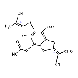 CC(=O)Oc1c2c(c(OC(=O)C#N)c3c1S/C(=C(/C#N)C=O)S3)S/C(=C(\C)C#N)S2